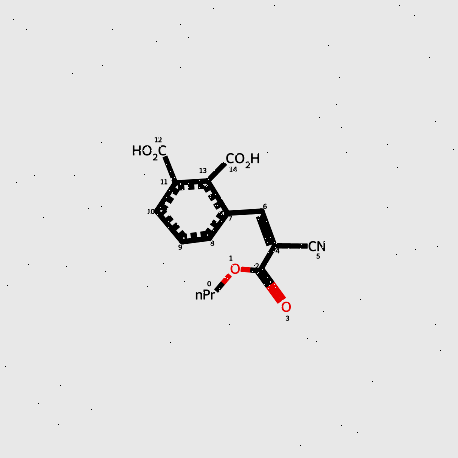 CCCOC(=O)C(C#N)=Cc1cccc(C(=O)O)c1C(=O)O